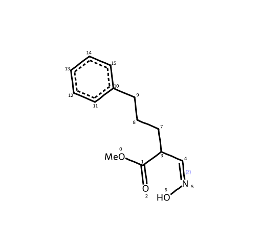 COC(=O)C(/C=N\O)CCCc1ccccc1